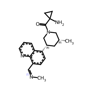 C/N=C\c1ccc([C@H]2C[C@@H](C)CN(C(=O)C3(N)CC3)C2)c2cccnc12